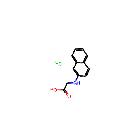 Cl.O=C(O)CNc1ccc2ccccc2c1